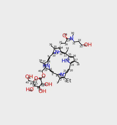 CCC1=C(C)c2cc3[nH]c(cc4nc(c(C)c5cc(C)c(cc1n2)[nH]5)[C@@H](CCC(=O)N(C)CCCO)[C@@H]4C)c(C)c3CO[C@@H]1O[C@H](CO)[C@@H](O)[C@H](O)[C@H]1O